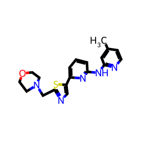 Cc1ccnc(Nc2cccc(-c3cnc(CN4CCOCC4)s3)n2)c1